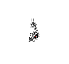 Cc1nn(C)c(C)c1N(C)S(=O)(=O)c1c(Cl)cc(CCCN2CCCNCC2)cc1Cl